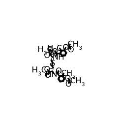 COC(=O)[C@H](CSSC[C@H](NC(=O)c1cccc(OC(C)=O)c1C)C(=O)OC)NC(=O)c1cccc(OC(C)=O)c1C